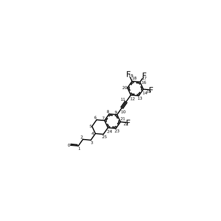 C=CCCC1CCc2cc(C#Cc3cc(F)c(F)c(F)c3)c(F)cc2C1